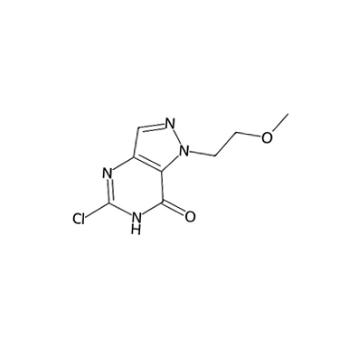 COCCn1ncc2nc(Cl)[nH]c(=O)c21